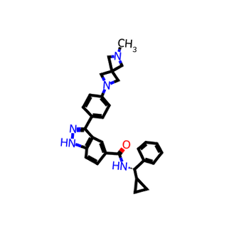 CN1CC2(C1)CN(c1ccc(-c3n[nH]c4ccc(C(=O)N[C@H](c5ccccc5)C5CC5)cc34)cc1)C2